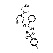 Cc1ccc(S(=O)(=O)NNCc2ccccc2C2C(Cl)NCCN2C(=O)OC(C)(C)C)cc1